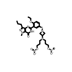 CCCc1nn(C)c2c(=O)[nH]c(-c3cc(SN4CC(N(CCCO[N+](=O)[O-])CCCO[N+](=O)[O-])C4)ccc3OCC)nc12